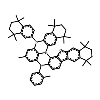 Cc1cc2c3c(c1)N(c1ccccc1C)c1ccc4c(oc5cc6c(cc54)C(C)(C)CCC6(C)C)c1B3c1cc3c(cc1N2c1ccc2c(c1)C(C)(C)CCC2(C)C)C(C)(C)CCC3(C)C